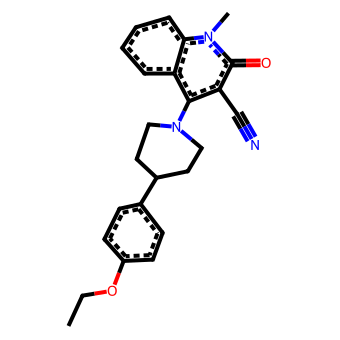 CCOc1ccc(C2CCN(c3c(C#N)c(=O)n(C)c4ccccc34)CC2)cc1